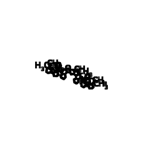 CC(C)(C)c1cccc2c1oc1c(N(c3ccccc3)c3cc4c(c5ccccc35)-c3cc5c(cc3C4(C)C)oc3cc(N(c4ccccc4)c4cccc6c4oc4c(C(C)(C)C)cccc46)c4ccccc4c35)cccc12